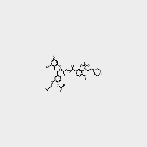 COc1ccc(C(=O)SCC(=O)O[C@@H](Cc2c(Cl)c[n+]([O-])cc2Cl)c2ccc(OC(F)F)c(OCC3CC3)c2)cc1N(CCN1CCOCC1)S(C)(=O)=O